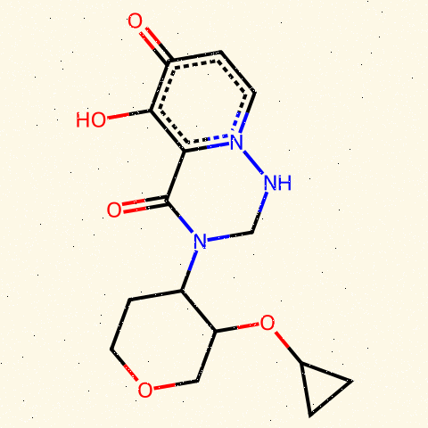 O=C1c2c(O)c(=O)ccn2NCN1C1CCOCC1OC1CC1